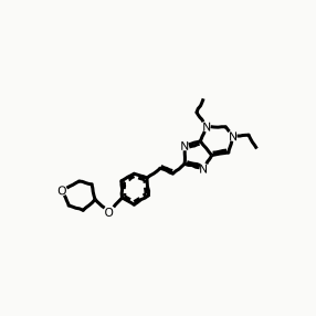 CCN1C=C2N=C(C=Cc3ccc(OC4CCOCC4)cc3)N=C2N(CC)C1